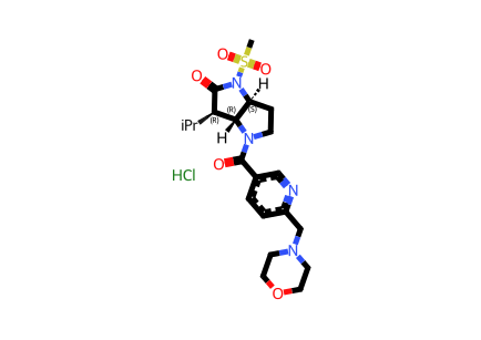 CC(C)[C@H]1C(=O)N(S(C)(=O)=O)[C@H]2CCN(C(=O)c3ccc(CN4CCOCC4)nc3)[C@H]12.Cl